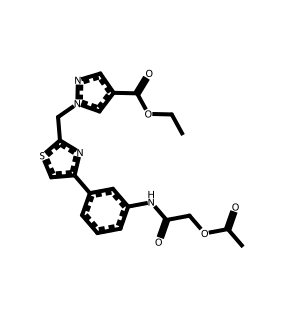 CCOC(=O)c1cnn(Cc2nc(-c3cccc(NC(=O)COC(C)=O)c3)cs2)c1